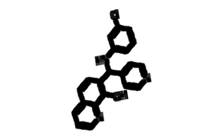 Oc1c(C(Nc2cccc(Cl)c2)c2ccncc2)ccc2cccnc12